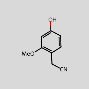 COc1cc(O)ccc1CC#N